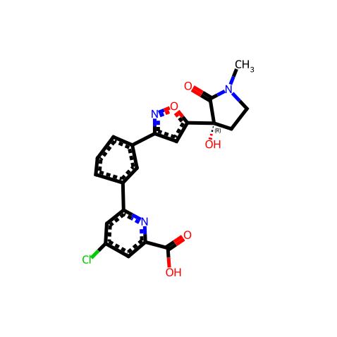 CN1CC[C@@](O)(c2cc(-c3cccc(-c4cc(Cl)cc(C(=O)O)n4)c3)no2)C1=O